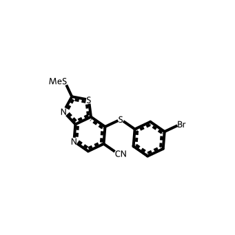 CSc1nc2ncc(C#N)c(Sc3cccc(Br)c3)c2s1